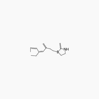 C=C(/C=C(\C=C/C)CC)CCB1CCNC1=C